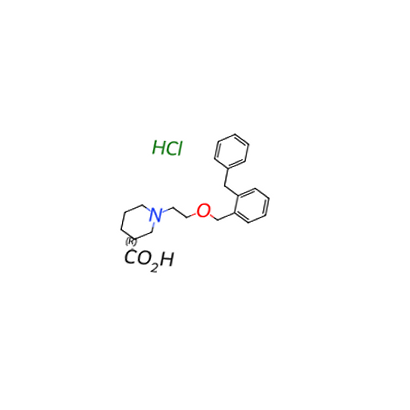 Cl.O=C(O)[C@@H]1CCCN(CCOCc2ccccc2Cc2ccccc2)C1